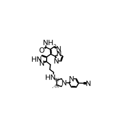 C[C@H]1CN(c2ccc(C#N)cn2)C[C@H]1NCCCc1n[nH]cc1-c1c(C(N)=O)cnn2ccnc12